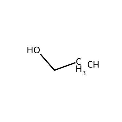 CCO.[CH]